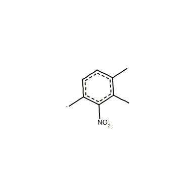 [CH2]c1ccc(C)c(C)c1[N+](=O)[O-]